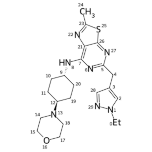 CCn1cc(Cc2nc(N[C@H]3CC[C@H](N4CCOCC4)CC3)c3nc(C)sc3n2)cn1